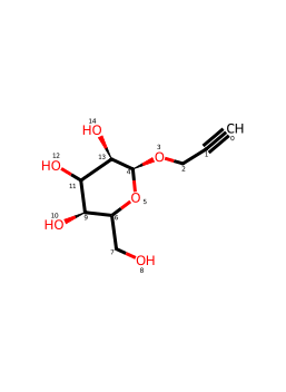 C#CCO[C@H]1OC(CO)[C@@H](O)C(O)[C@H]1O